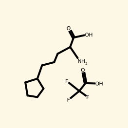 NC(CCCC1CCCC1)C(=O)O.O=C(O)C(F)(F)F